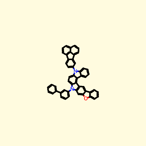 c1ccc(-c2cccc(-n3c4cc5oc6ccccc6c5cc4c4c5c6ccccc6n(-c6ccc7c(c6)-c6cccc8cccc-7c68)c5ccc43)c2)cc1